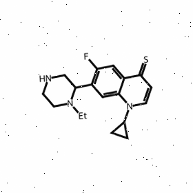 CCN1CCNCC1c1cc2c(cc1F)c(=S)ccn2C1CC1